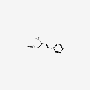 CCCCCCCCC(C=Cc1ccccc1)CCC